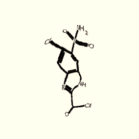 NS(=O)(=O)c1cc2[nH]c(C(Cl)Cl)nc2cc1Cl